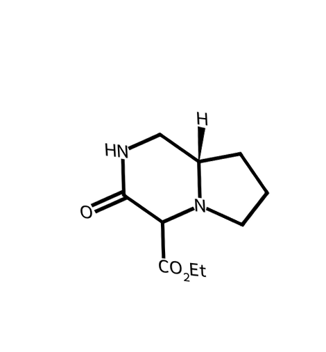 CCOC(=O)C1C(=O)NC[C@@H]2CCCN12